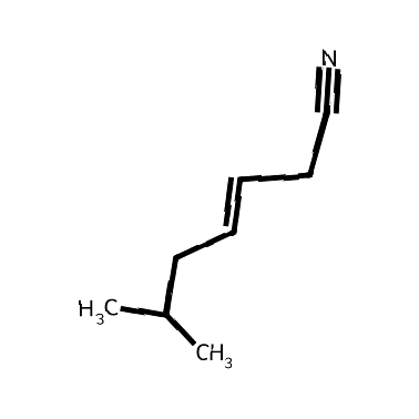 CC(C)CC=CCC#N